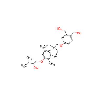 CCC(CC)(COc1ccc(CO)c(CO)c1)c1ccc(OCC(O)C(C)C)c(C)c1